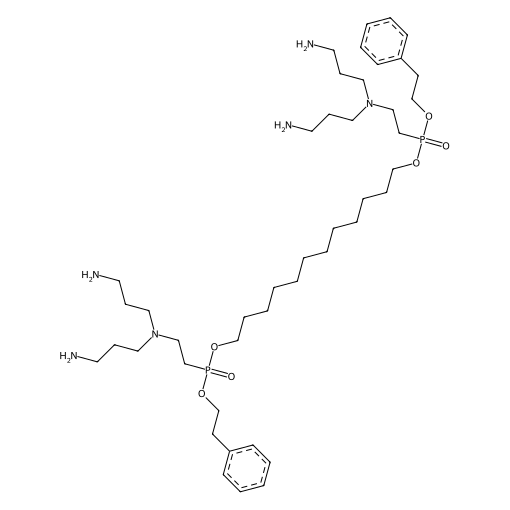 NCCCN(CCCN)CCP(=O)(OCCCCCCCCCCCCOP(=O)(CCN(CCCN)CCCN)OCCc1ccccc1)OCCc1ccccc1